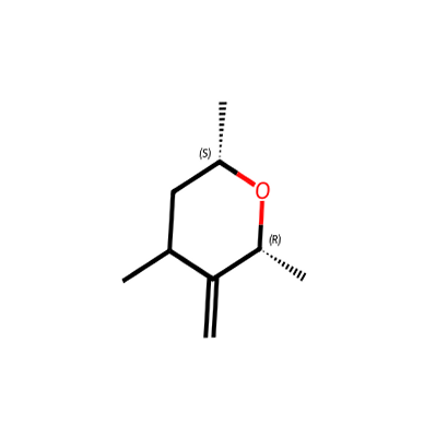 C=C1C(C)C[C@H](C)O[C@@H]1C